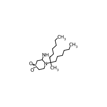 CCCCCCC(C)(CCCCCC)N1CCS(=O)(=O)CC1N